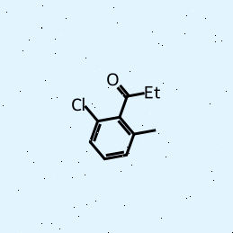 CCC(=O)c1c(C)cccc1Cl